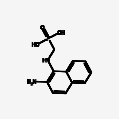 Nc1ccc2ccccc2c1NCP(=O)(O)O